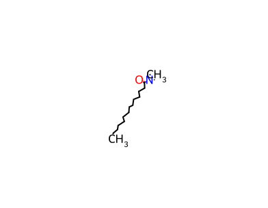 CCCCCCCCCCCCCC(=O)[N]C